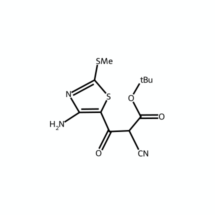 CSc1nc(N)c(C(=O)C(C#N)C(=O)OC(C)(C)C)s1